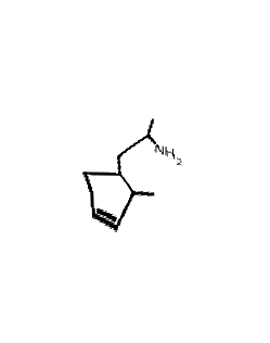 CC(N)CC1CC=CC1C